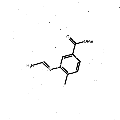 COC(=O)c1ccc(C)c(/N=C/N)c1